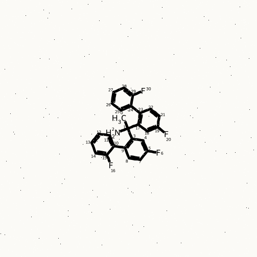 CC(N)(c1cc(F)ccc1-c1ccccc1F)c1cc(F)ccc1-c1ccccc1F